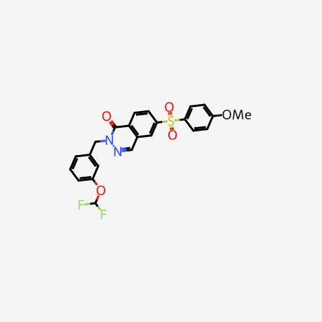 COc1ccc(S(=O)(=O)c2ccc3c(=O)n(Cc4cccc(OC(F)F)c4)ncc3c2)cc1